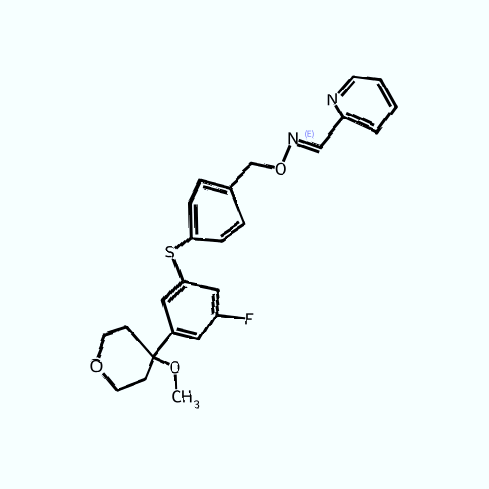 COC1(c2cc(F)cc(Sc3ccc(CO/N=C/c4ccccn4)cc3)c2)CCOCC1